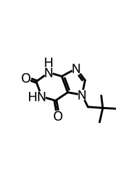 CC(C)(C)Cn1cnc2[nH]c(=O)[nH]c(=O)c21